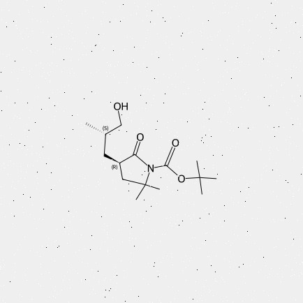 C[C@H](CO)C[C@@H]1CC(C)(C)N(C(=O)OC(C)(C)C)C1=O